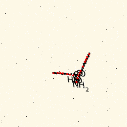 CCCCCCCCC=CCCCCCCCC(=O)OCC(COC(=O)NCCN)OC(=O)CCCCCCCC=CCCCCCCCC